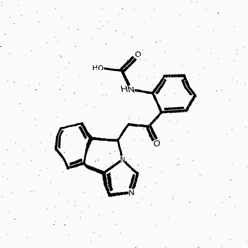 O=C(O)Nc1ccccc1C(=O)CC1c2ccccc2-c2cncn21